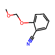 COCOc1ccccc1C#N